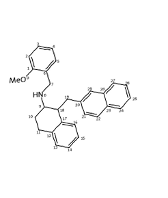 COc1ccccc1CNC1CCc2ccccc2C1Cc1ccc2ccccc2c1